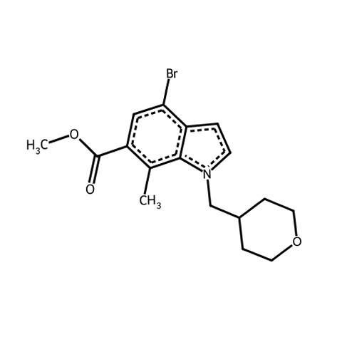 COC(=O)c1cc(Br)c2ccn(CC3CCOCC3)c2c1C